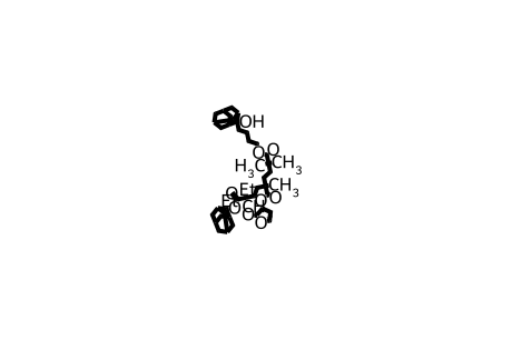 CCC(C)(CCC(C)(CCC(C)(C)C(=O)OCCCCC1(O)C2CC3CC(C2)CC1C3)C(=O)OC1CCOC1=O)C(=O)OC1(CC)C2CC3CC(C2)CC1C3